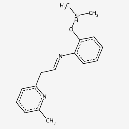 Cc1cccc(CC=Nc2ccccc2O[SiH](C)C)n1